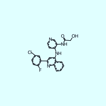 O=C(CO)Nc1cnccc1Nc1cc(-c2cc(Cl)ccc2F)nc2ccccc12